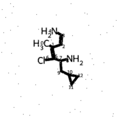 CC(/C=C\N)=C(\Cl)C(N)CC1CC1